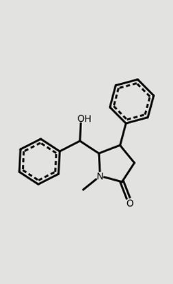 CN1C(=O)CC(c2ccccc2)C1C(O)c1ccccc1